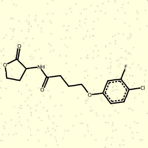 O=C(CCCOc1ccc(Cl)c(F)c1)NC1CCOC1=O